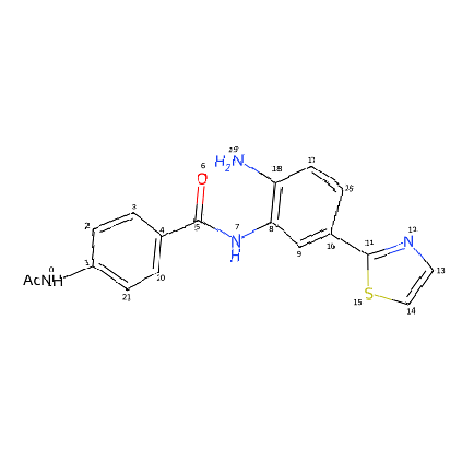 CC(=O)Nc1ccc(C(=O)Nc2cc(-c3nccs3)ccc2N)cc1